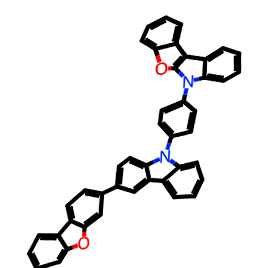 c1ccc2c(c1)oc1cc(-c3ccc4c(c3)c3ccccc3n4-c3ccc(-n4c5ccccc5c5c6ccccc6oc54)cc3)ccc12